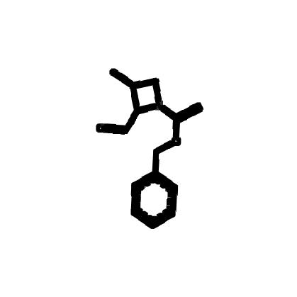 C=C(OCc1ccccc1)N1CC(C)C1C=O